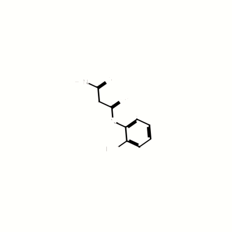 NC(=O)CC(=O)Nc1ccccc1C(F)(F)F